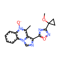 COC1(c2noc(-c3ncn4c3c(C)[n+]([O-])c3ccccc34)n2)CC1